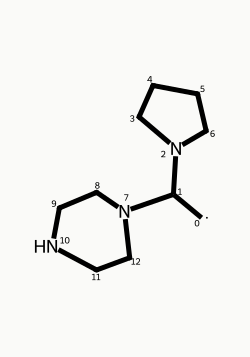 [CH2]C(N1CCCC1)N1CCNCC1